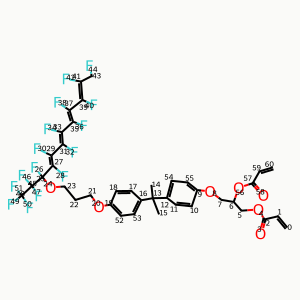 C=CC(=O)OCC(COc1ccc(C(C)(C)c2ccc(OCCCOC(F)(/C(F)=C(F)/C(F)=C(F)/C(F)=C(F)/C(F)=C(\F)CF)C(F)(F)C(F)(F)F)cc2)cc1)OC(=O)C=C